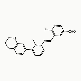 Cc1c(/C=C/c2cc(C=O)ccc2F)cccc1-c1ccc2c(c1)OCCO2